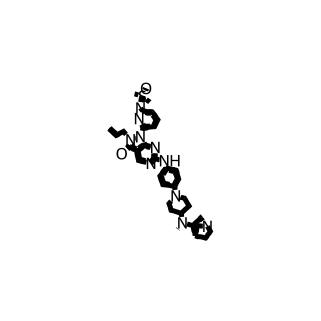 C=CCn1c(=O)c2cnc(Nc3ccc(N4CCC(N(C)C5CN6CCC5C6)CC4)cc3)nc2n1-c1cccc(N=S(C)(C)=O)n1